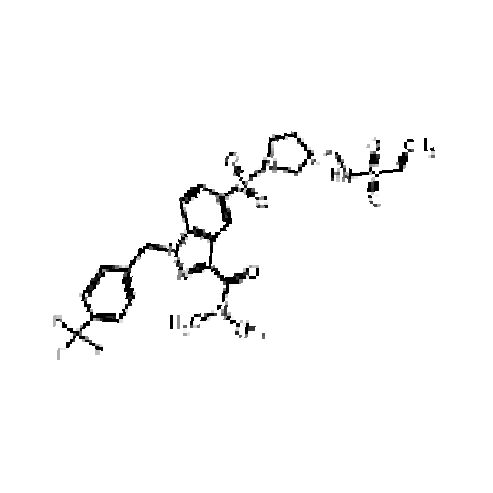 C=CS(=O)(=O)NC[C@H]1CCN(S(=O)(=O)c2ccc3c(c2)c(C(=O)N(C)C)nn3Cc2ccc(C(F)(F)F)cc2)C1